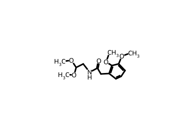 COc1cccc(CC(=O)NCC(OC)OC)c1OC